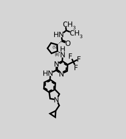 CC(C)NC(=O)[C@H]1CCC[C@H]1Nc1nc(Nc2ccc3c(c2)CN(CC2CC2)C3)ncc1C(F)(F)F